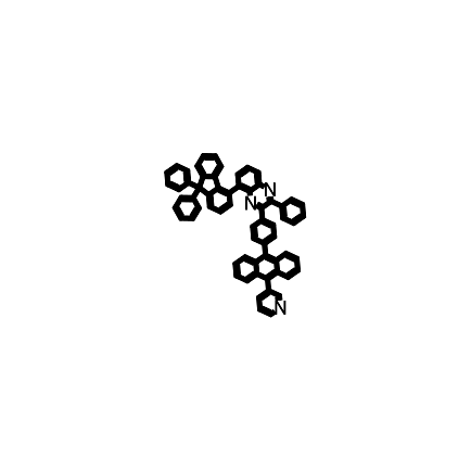 c1ccc(-c2nc3cccc(-c4cccc5c4-c4ccccc4C5(c4ccccc4)c4ccccc4)c3nc2-c2ccc(-c3c4ccccc4c(-c4cccnc4)c4ccccc34)cc2)cc1